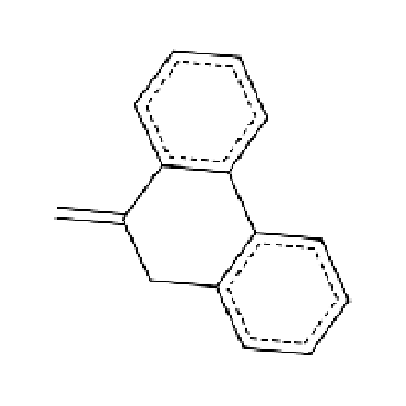 C=C1Cc2ccccc2-c2ccccc21